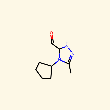 CC1=NNC(C=O)N1C1CCCC1